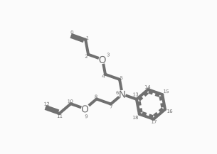 C=CCOCCN(CCOCC=C)c1ccccc1